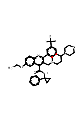 CCOc1ccc2nc(-c3cccc(C(F)(F)F)c3)c(CN3CCC(N4CCOCC4)CC3)c(C(=O)NC3(c4ccccc4)CC3)c2c1